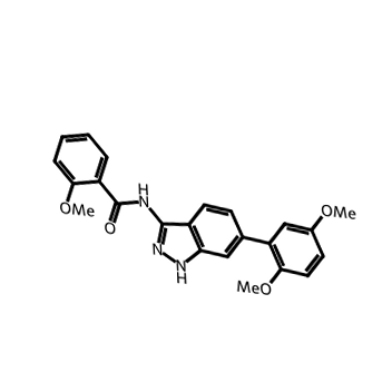 COc1ccc(OC)c(-c2ccc3c(NC(=O)c4ccccc4OC)n[nH]c3c2)c1